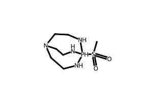 CS(=O)(=O)[PH]12NCCN(CCN1)CCN2